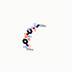 CCCCCCNC(=O)c1cccc(S(=O)(=O)NC(=O)c2ccc(OC(=O)NCCOC)nc2)c1